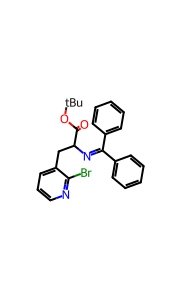 CC(C)(C)OC(=O)C(Cc1cccnc1Br)N=C(c1ccccc1)c1ccccc1